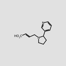 O=C(O)/C=C/CN1CCCC1c1cccnc1